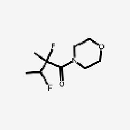 CC(F)C(C)(F)C(=O)N1CCOCC1